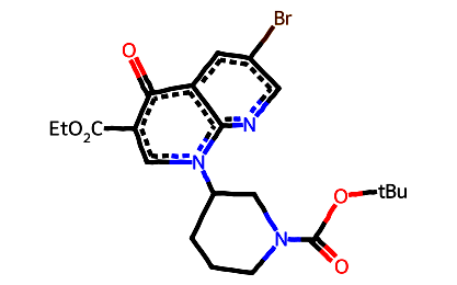 CCOC(=O)c1cn(C2CCCN(C(=O)OC(C)(C)C)C2)c2ncc(Br)cc2c1=O